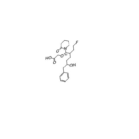 O=C(O)CO[C@H](C(CCF)CCC(O)Cc1ccccc1)N1CCCCC1=O